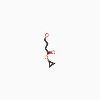 [O]CCCC(=O)OC1CC1